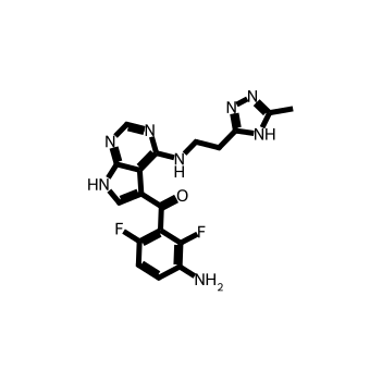 Cc1nnc(CCNc2ncnc3[nH]cc(C(=O)c4c(F)ccc(N)c4F)c23)[nH]1